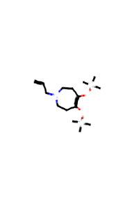 C=CCN1CCC(O[Si](C)(C)C)=C(O[Si](C)(C)C)CC1